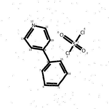 O=S(=O)(Cl)Cl.c1ccc(-c2ccncc2)cc1